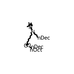 CCCCCCCCCCCCCCN(CCCCCCCC(=O)OCC(CCCCCCCC)CCCCCCCCCC)CCn1ccnc1C